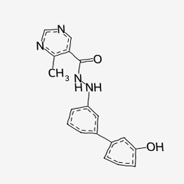 Cc1ncncc1C(=O)NNc1cccc(-c2cccc(O)c2)c1